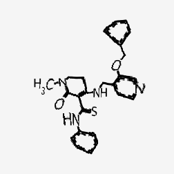 CN1CCC(NCc2ccncc2OCc2ccccc2)=C(C(=S)Nc2ccccc2)C1=O